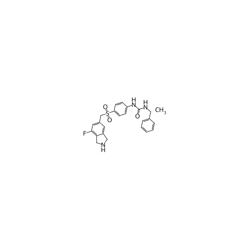 C[C@@H](NC(=O)Nc1ccc(S(=O)(=O)Cc2cc(F)c3c(c2)CNC3)cc1)c1ccccc1